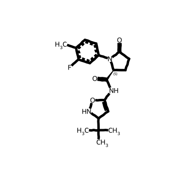 Cc1ccc(N2C(=O)CC[C@H]2C(=O)NC2=CC(C(C)(C)C)NO2)cc1F